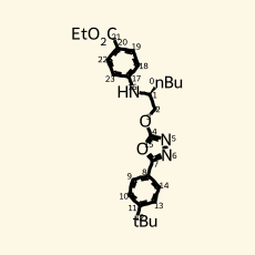 CCCC[C@@H](COc1nnc(-c2ccc(C(C)(C)C)cc2)o1)Nc1ccc(C(=O)OCC)cc1